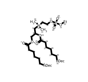 CCCCCCCCCCCCCCCC(=O)OCC(C[N+](C)(C)CCOP(=O)([O-])OCC)OC(=O)CCCCCCCCCCCCCCC